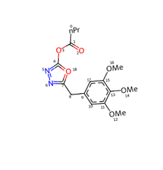 CCCC(=O)Oc1nnc(Cc2cc(OC)c(OC)c(OC)c2)o1